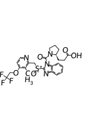 Cc1c(OCC(F)(F)F)ccnc1C[S+]([O-])c1nc2ccccc2n1C(=O)N1CCC[C@H]1CCC(=O)O